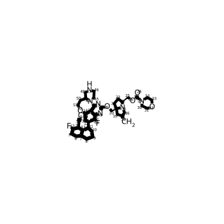 C#Cc1c(F)ccc2cccc(-c3cc4c5c(nc(OC[C@@]67CC[C@@H](COC(=O)N8CCOCC8)N6CC(=C)C7)nc5c3F)N3CCNCC3CCO4)c12